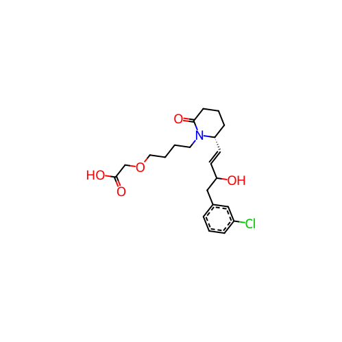 O=C(O)COCCCCN1C(=O)CCC[C@@H]1C=CC(O)Cc1cccc(Cl)c1